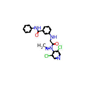 C=NN(C(=O)CNc1cccc(C(=O)Nc2ccccc2)c1)c1c(Cl)cncc1Cl